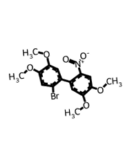 COc1cc(Br)c(-c2cc(OC)c(OC)cc2[N+](=O)[O-])cc1OC